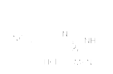 CNC(C)C(=O)NC1CCc2ccccc2N(Cc2cccc3c(C#N)cccc23)C1=O.Cl